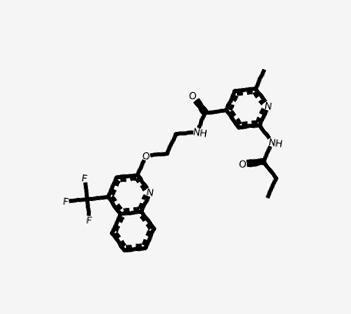 CCC(=O)Nc1cc(C(=O)NCCOc2cc(C(F)(F)F)c3ccccc3n2)cc(C)n1